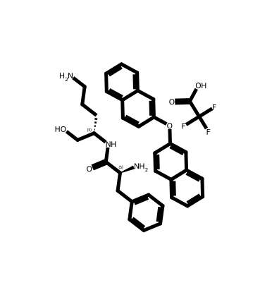 NCCC[C@@H](CO)NC(=O)[C@@H](N)Cc1ccccc1.O=C(O)C(F)(F)F.c1ccc2cc(Oc3ccc4ccccc4c3)ccc2c1